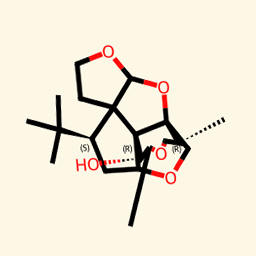 CC1OC[C@@H](C)C23COC4C[C@@H](C(C)(C)C)C5(CCOC5O2)C43[C@H]1O